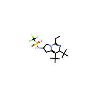 CCC1=NC(C(C)(C)C)C(C(C)(C)C)=C2CC(NS(=O)(=O)C(F)(F)F)CN12